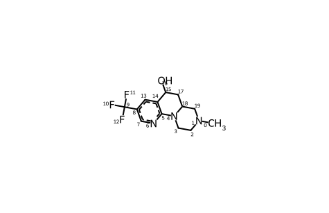 CN1CCN2c3ncc(C(F)(F)F)cc3C(O)CC2C1